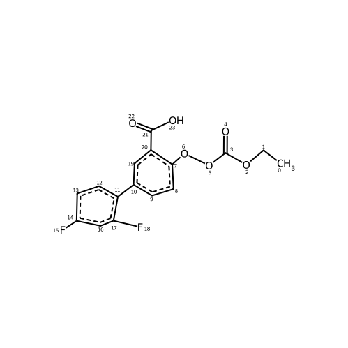 CCOC(=O)OOc1ccc(-c2ccc(F)cc2F)cc1C(=O)O